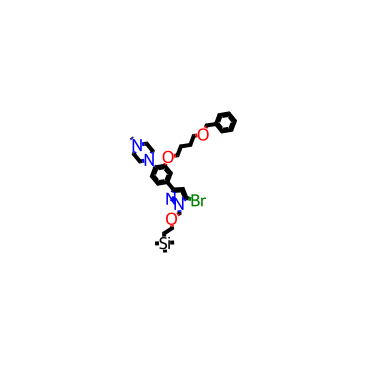 CN1CCN(c2ccc(-c3cc(Br)n(COCC[Si](C)(C)C)n3)cc2OCCCCOCc2ccccc2)CC1